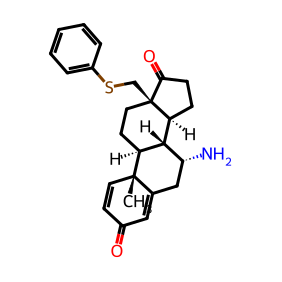 C[C@]12C=CC(=O)C=C1C[C@@H](N)[C@H]1[C@@H]3CCC(=O)[C@@]3(CSc3ccccc3)CC[C@@H]12